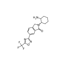 NC1CCCC[C@H]1N1Cc2ccc(-c3noc(C(F)(F)F)n3)cc2C1=O